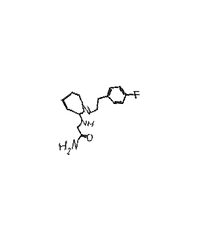 NC(=O)CNC1CCCCN1CCc1ccc(F)cc1